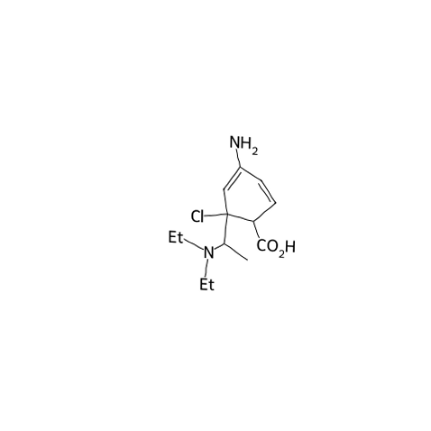 CCN(CC)C(C)C1(Cl)C=C(N)C=CC1C(=O)O